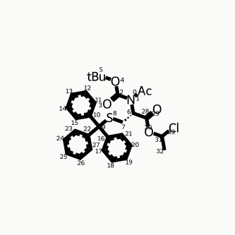 CC(=O)N(C(=O)OC(C)(C)C)[C@@H](CSC(c1ccccc1)(c1ccccc1)c1ccccc1)C(=O)OC(C)Cl